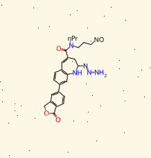 CCCN(CCCN=O)C(=O)C1=Cc2ccc(-c3ccc4c(c3)COC4=O)cc2NC(N=NN)C1